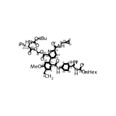 C=Cc1cc(C(=O)Nc2ccc(C(=N)NC(=O)OCCCCCC)cc2)c(-c2ccc(C(=O)NCC3CC3)nc2C(=O)OCOC(=O)[C@H](CC(C)C)NC(=O)OC(C)(C)C)cc1OC